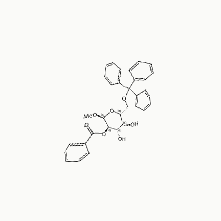 CO[C@H]1O[C@H](COC(c2ccccc2)(c2ccccc2)c2ccccc2)[C@@H](O)[C@H](O)[C@H]1OC(=O)c1ccccc1